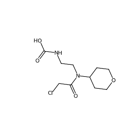 O=C(O)NCCN(C(=O)CCl)C1CCOCC1